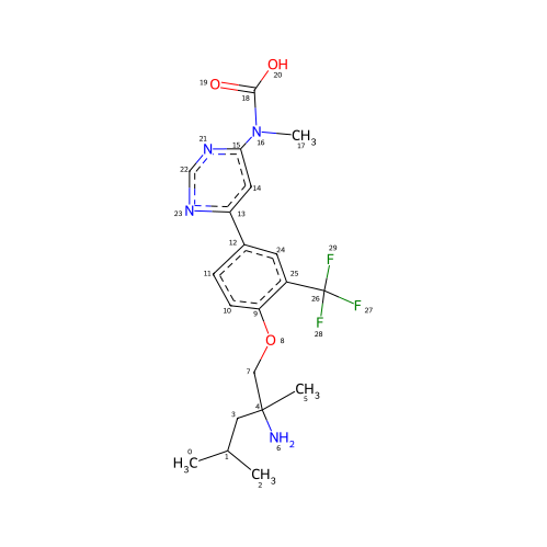 CC(C)CC(C)(N)COc1ccc(-c2cc(N(C)C(=O)O)ncn2)cc1C(F)(F)F